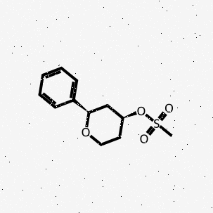 CS(=O)(=O)O[C@H]1CCO[C@@H](c2ccccc2)C1